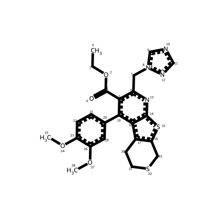 CCOC(=O)c1c(Cn2cncn2)nc2sc3c(c2c1-c1ccc(OC)c(OC)c1)CCSC3